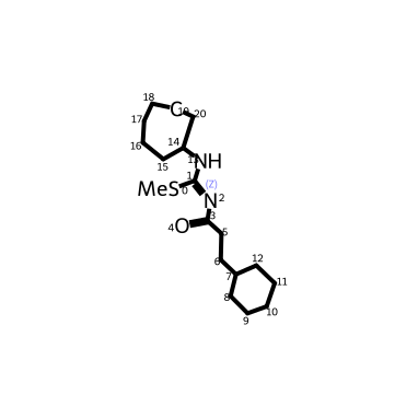 CS/C(=N\C(=O)CCC1CCCCC1)NC1CCCCCC1